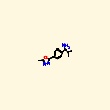 Cc1nnc(-c2ccc([C@@H](N)C(C)C)cc2)o1